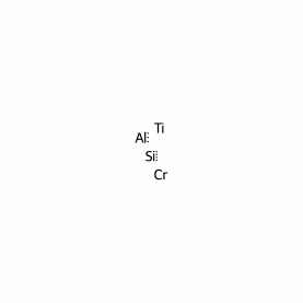 [Al].[Cr].[Si].[Ti]